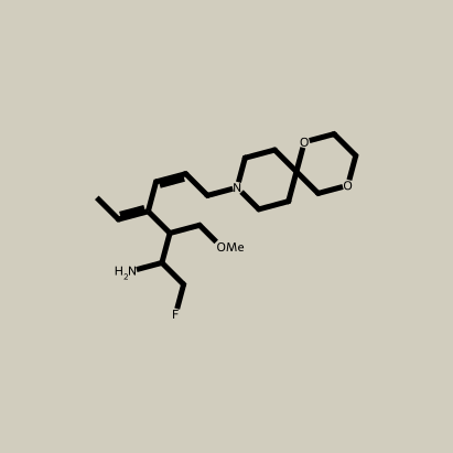 C/C=C(\C=C/CN1CCC2(CC1)COCCO2)C(COC)C(N)CF